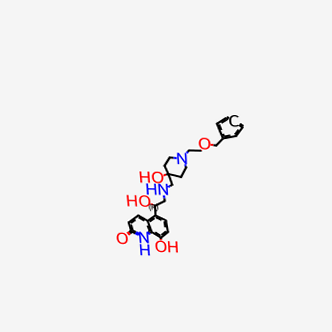 O=c1ccc2c([C@@H](O)CNCC3(O)CCN(CCOCc4ccccc4)CC3)ccc(O)c2[nH]1